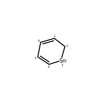 C1=C[CH2][Sn][CH]=C1